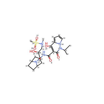 CC(C)n1c(=O)c(C(=O)NC2CC3CCC(C2)N3C[C@@H](O)CN(C)S(C)(=O)=O)c(O)c2cccn21